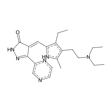 CCc1c(/C=C2/C(=O)NN=C2c2cnccn2)[nH]c(C)c1CCN(CC)CC